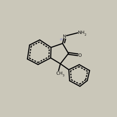 CC1(c2ccccc2)C(=O)/C(=N\N)c2ccccc21